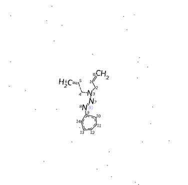 C=CCN(CC=C)/N=N/c1ccccc1